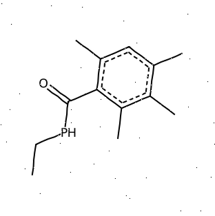 CCPC(=O)c1c(C)cc(C)c(C)c1C